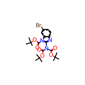 CC(C)(C)OC(=O)N(C(=O)OC(C)(C)C)c1nc2ccc(Br)cc2n1C(=O)OC(C)(C)C